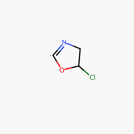 ClC1CN=[C]O1